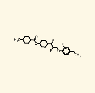 CCc1ccc(OCC(F)C(F)C2CCC(OC(=O)C3CCC(C)CC3)CC2)c(F)c1